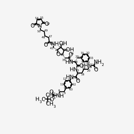 CC(C)(C)OC(=O)NCCc1ccc(NC(=O)C(CCCNC(N)=O)NC(=O)[C@@H](Cc2ccccc2)NC(=O)C[C@@H]2O[C@H](CNC(=O)CCCCN3C(=O)C=CC3=O)C(O)C2O)cc1